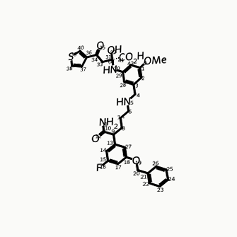 COc1cc(CNC[CH]CC(C(N)=O)c2cc(F)cc(OCc3ccccc3)c2)cc(N[C@](O)(CC(=O)c2ccsc2)C(=O)O)c1